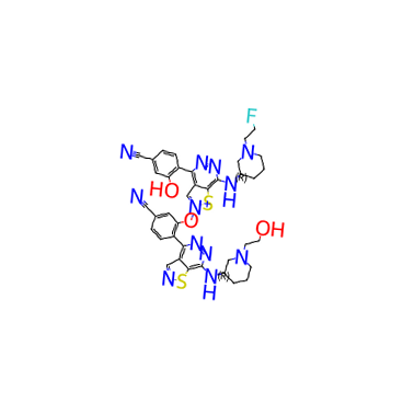 N#Cc1ccc(-c2nnc(N[C@@H]3CCCN(CCF)C3)c3s[n+](Oc4cc(C#N)ccc4-c4nnc(N[C@@H]5CCCN(CCO)C5)c5sncc45)cc23)c(O)c1